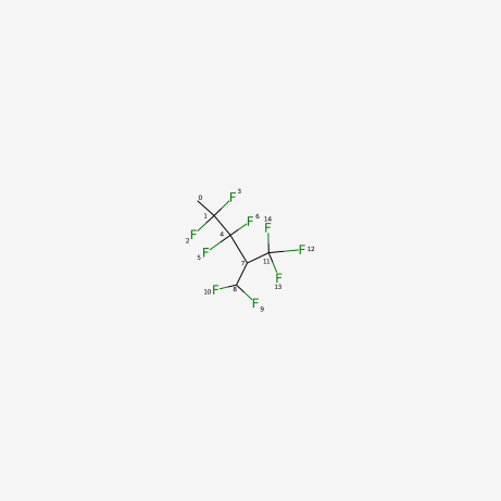 CC(F)(F)C(F)(F)C(C(F)F)C(F)(F)F